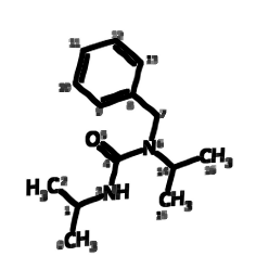 CC(C)NC(=O)N(Cc1ccccc1)C(C)C